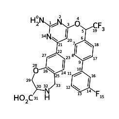 Nc1nc(OC(c2ccc(-c3cccc(F)c3)cc2)C(F)(F)F)cc(-c2ccc3c(c2)OCC(C(=O)O)NC3)n1